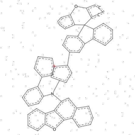 c1ccc(-c2ccccc2N(c2ccc(-c3ccc4c(c3)-c3ccccc3C43c4ccccc4Oc4ccccc43)cc2)c2cc3ccccc3c3oc4ccccc4c23)cc1